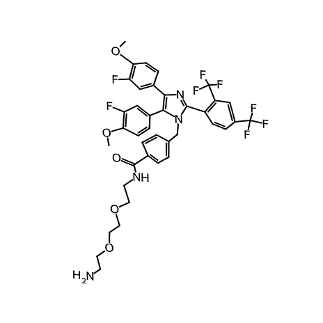 COc1ccc(-c2nc(-c3ccc(C(F)(F)F)cc3C(F)(F)F)n(Cc3ccc(C(=O)NCCOCCOCCN)cc3)c2-c2ccc(OC)c(F)c2)cc1F